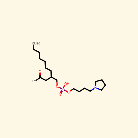 CCCCCCCCCCCCCCCCC(COP(=O)(O)OCCCCN1CCCC1)CC(=O)CC